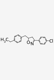 CCc1ccc(CC2CC(c3ccc(Cl)cc3)=NO2)cc1